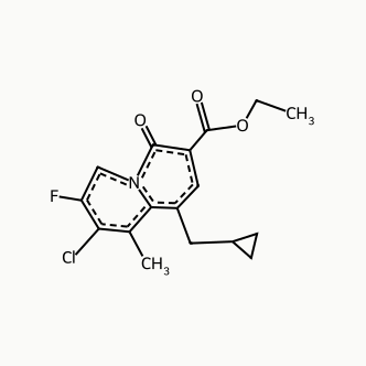 CCOC(=O)c1cc(CC2CC2)c2c(C)c(Cl)c(F)cn2c1=O